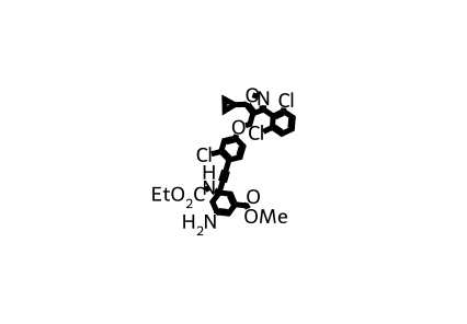 CCOC(=O)NC1(C#Cc2ccc(OCc3c(-c4c(Cl)cccc4Cl)noc3C3CC3)cc2Cl)C=C(C(=O)OC)C=C(N)C1